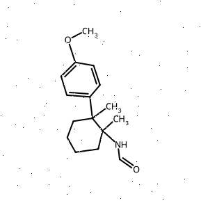 COc1ccc(C2(C)CCCCC2(C)NC=O)cc1